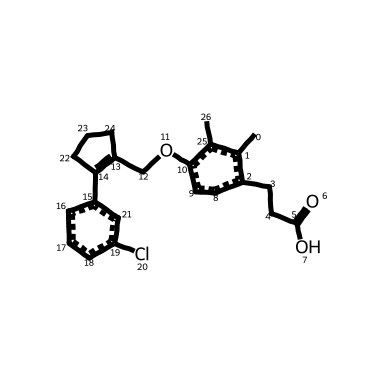 Cc1c(CCC(=O)O)ccc(OCC2=C(c3cccc(Cl)c3)CCC2)c1C